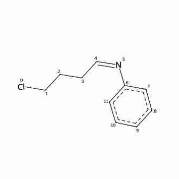 ClCCC/C=N\c1ccccc1